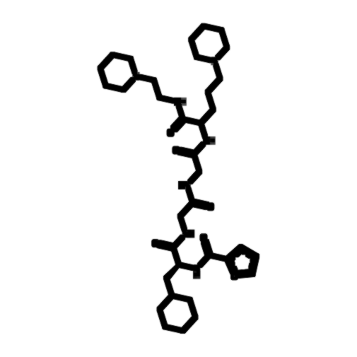 O=C(CNC(=O)[C@H](CC1CCCCC1)NC(=O)c1ccco1)NCC(=O)NC(CCCN1CCCCC1)C(=O)NCCN1CCCCC1